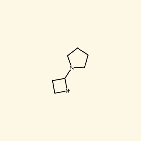 C1CCN(C2CC[N]2)C1